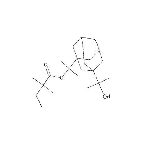 CCC(C)(C)C(=O)OC(C)(C)C12CC3CC(CC(C(C)(C)O)(C3)C1)C2